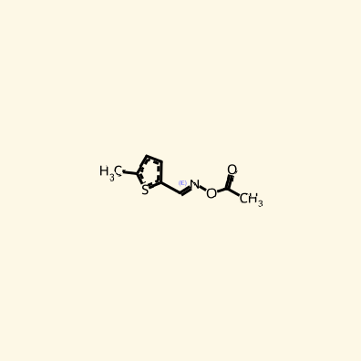 CC(=O)O/N=C/c1ccc(C)s1